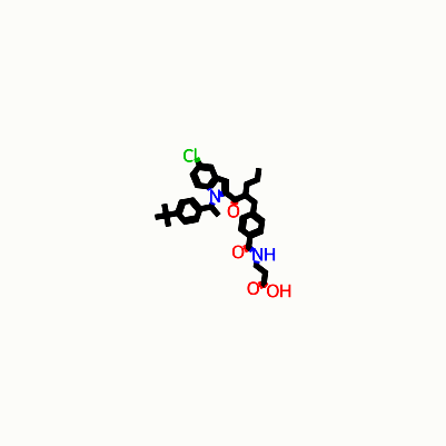 CCCC(Cc1ccc(C(=O)NCCC(=O)O)cc1)C(=O)c1cc2cc(Cl)ccc2n1C(C)c1ccc(C(C)(C)C)cc1